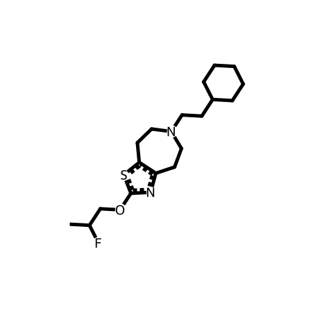 CC(F)COc1nc2c(s1)CCN(CCC1CCCCC1)CC2